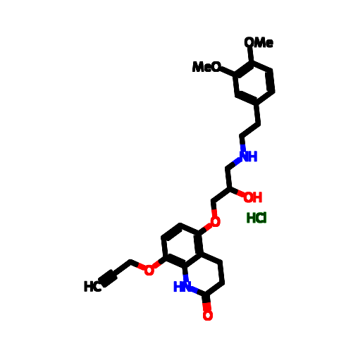 C#CCOc1ccc(OCC(O)CNCCc2ccc(OC)c(OC)c2)c2c1NC(=O)CC2.Cl